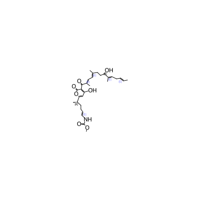 C/C=C/C/C=C(\C)[C@H](O)CC/C(C)=C/C=C(\C)C(=O)c1c(O)cc([C@H](C)CC/C=C/NC(=O)OC)oc1=O